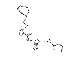 O=C(Nc1nc([C@@H]2C[C@H]2C2C=CC=CC2)cs1)c1cccn1CCCc1ccncc1